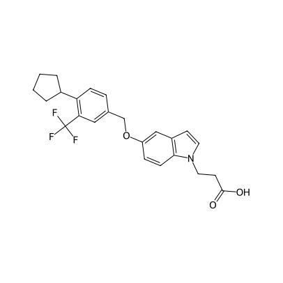 O=C(O)CCn1ccc2cc(OCc3ccc(C4CCCC4)c(C(F)(F)F)c3)ccc21